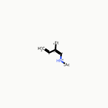 C=C/C(=C\NC(C)=O)CC